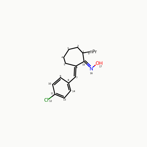 CCCC1CCCCC(=C\c2ccc(Cl)cc2)/C1=N/O